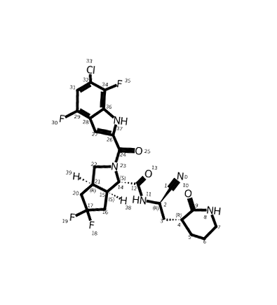 N#C[C@@H](C[C@H]1CCCNC1=O)NC(=O)[C@@H]1[C@H]2CC(F)(F)C[C@H]2CN1C(=O)c1cc2c(F)cc(Cl)c(F)c2[nH]1